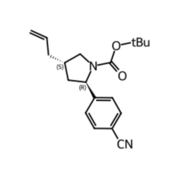 C=CC[C@H]1C[C@H](c2ccc(C#N)cc2)N(C(=O)OC(C)(C)C)C1